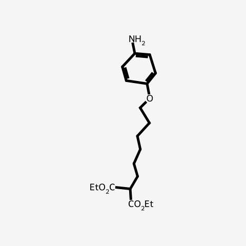 CCOC(=O)C(CCCCCCOc1ccc(N)cc1)C(=O)OCC